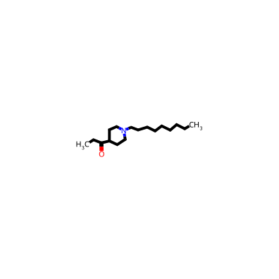 CCCCCCCCCN1CCC(C(=O)CC)CC1